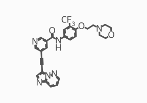 O=C(Nc1ccc(OCCN2CCOCC2)c(C(F)(F)F)c1)c1cncc(C#Cc2cnc3cccnn23)c1